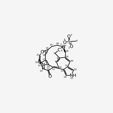 CS(=O)(=O)O[C@H]1CCC2=C/C3=C4/C(=O)CC(=O)c5cc(occ[nH]c54)CC/N=C/1C2=Cc1c[nH]cc13